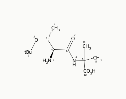 C[C@@H](OC(C)(C)C)[C@H](N)C(=O)NC(C)(C)C(=O)O